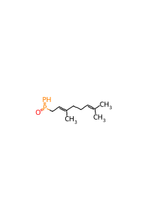 CC(C)=CCC/C(C)=C/CP(=O)=P